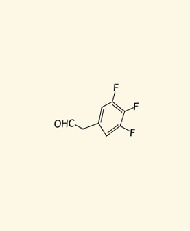 O=CCc1cc(F)c(F)c(F)c1